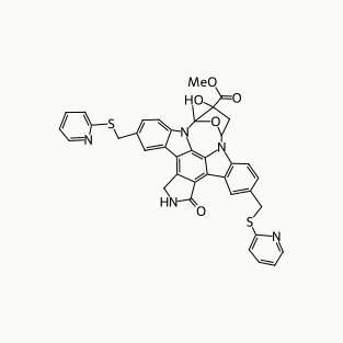 COC(=O)C1(O)CC2OC1(C)n1c3ccc(CSc4ccccn4)cc3c3c4c(c5c6cc(CSc7ccccn7)ccc6n2c5c31)C(=O)NC4